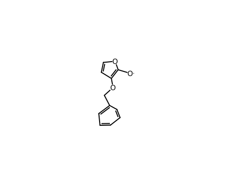 [O]c1occc1OCc1ccccc1